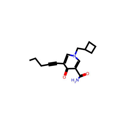 CCCC#Cc1cn(CC2CCC2)cc(C(N)=O)c1=O